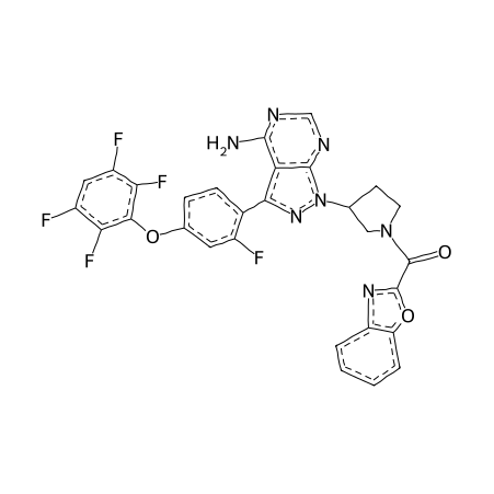 Nc1ncnc2c1c(-c1ccc(Oc3c(F)c(F)cc(F)c3F)cc1F)nn2C1CCN(C(=O)c2nc3ccccc3o2)C1